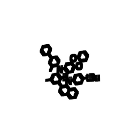 Cc1cc2c3c(c1)N(c1ccc(-c4ccccc4)cc1C)c1cc4c(cc1B3N(c1ccc(C(C)(C)C)cc1)c1c-2ccc2ccccc12)Oc1ccccc1O4